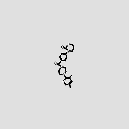 Cc1cnc(N2CCN(C(=O)c3ccc(N4CCCOC4=O)cc3)CC2)c(C)c1